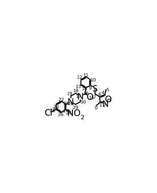 Cc1noc(C)c1CSc1ccccc1C(=O)N1CCN(c2ccc(Cl)cc2[N+](=O)[O-])CC1